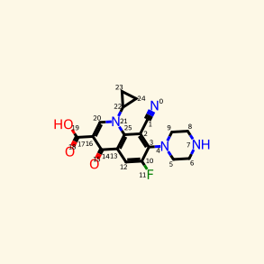 N#Cc1c(N2CCNCC2)c(F)cc2c(=O)c(C(=O)O)cn(C3CC3)c12